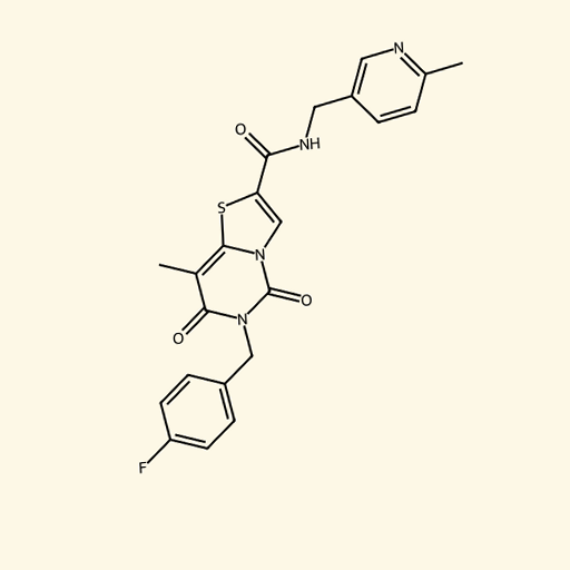 Cc1ccc(CNC(=O)c2cn3c(=O)n(Cc4ccc(F)cc4)c(=O)c(C)c3s2)cn1